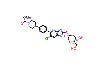 COC(=O)N1CCC(c2ccc(-c3nc4nc(O[C@H]5CO[C@H](CO)[C@@H](O)C5)[nH]c4cc3Cl)cc2)CC1